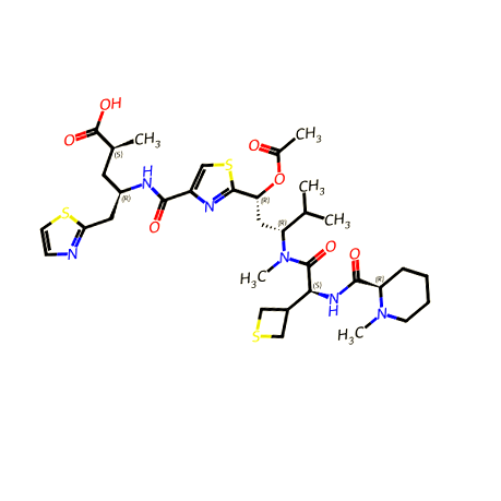 CC(=O)O[C@H](C[C@H](C(C)C)N(C)C(=O)[C@@H](NC(=O)[C@H]1CCCCN1C)C1CSC1)c1nc(C(=O)N[C@@H](Cc2nccs2)C[C@H](C)C(=O)O)cs1